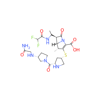 CC(NC(=O)C(F)F)[C@H]1C(=O)N2C(C(=O)O)=C(S[C@@H]3CN[C@H](C(=O)N4CC[C@@H](NCC(N)=O)C4)C3)[C@H](C)[C@H]12